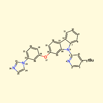 CC(C)(C)c1ccnc(-n2c3ccccc3c3ccc(Oc4cccc(-n5ccnc5)c4)cc32)c1